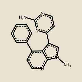 Cn1cc(-c2ccnc(N)n2)c2c(-c3ccccc3)ccnc21